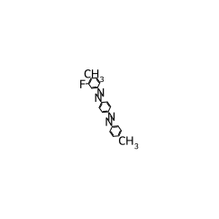 Cc1ccc(N=Nc2ccc(N=Nc3ccc(C)c(F)c3)cc2)cc1